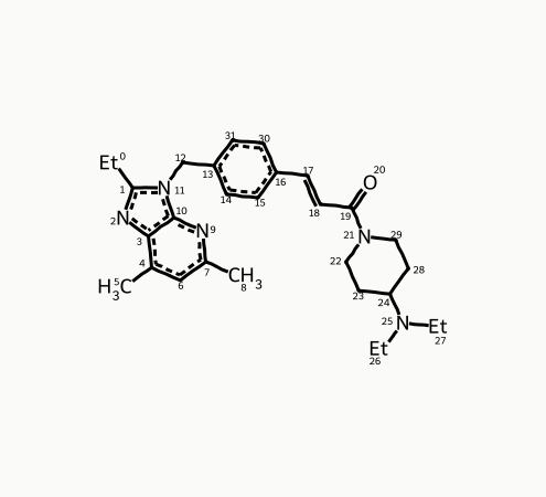 CCc1nc2c(C)cc(C)nc2n1Cc1ccc(C=CC(=O)N2CCC(N(CC)CC)CC2)cc1